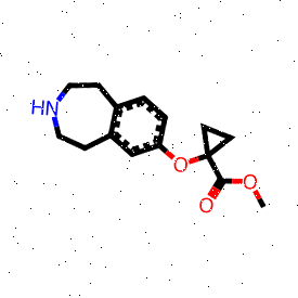 COC(=O)C1(Oc2ccc3c(c2)CCNCC3)CC1